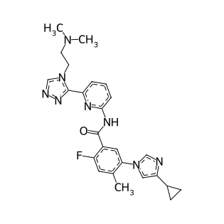 Cc1cc(F)c(C(=O)Nc2cccc(-c3nncn3CCN(C)C)n2)cc1-n1cnc(C2CC2)c1